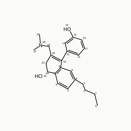 CCCCc1ccc2c(c1)C(c1cccc(O)c1)=C(CN(C)C)CC2.Cl